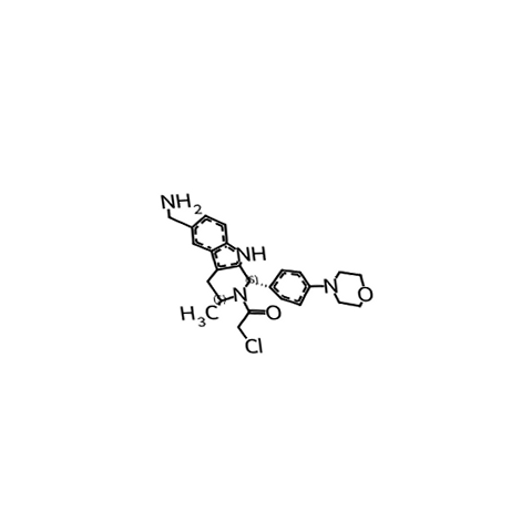 C[C@H]1Cc2c([nH]c3ccc(CN)cc23)[C@H](c2ccc(N3CCOCC3)cc2)N1C(=O)CCl